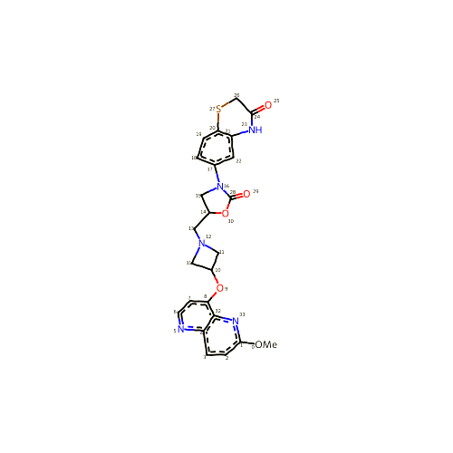 COc1ccc2nccc(OC3CN(CC4CN(c5ccc6c(c5)NC(=O)CS6)C(=O)O4)C3)c2n1